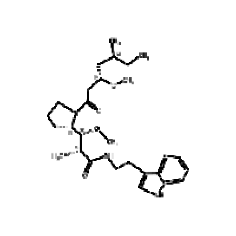 CC[C@H](C)C[C@@H](CC(=O)N1CCC[C@H]1[C@H](OC)[C@@H](C)C(=O)NCCc1c[nH]c2ccccc12)OC